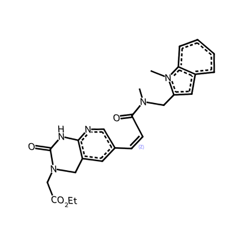 CCOC(=O)CN1Cc2cc(/C=C\C(=O)N(C)Cc3cc4ccccc4n3C)cnc2NC1=O